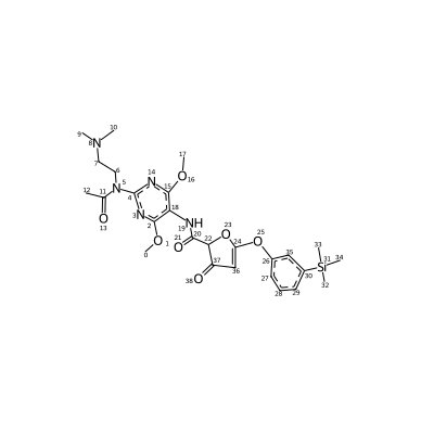 COc1nc(N(CCN(C)C)C(C)=O)nc(OC)c1NC(=O)C1OC(Oc2cccc([Si](C)(C)C)c2)=CC1=O